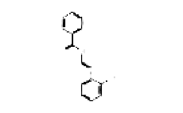 COc1ccccc1C=CNC(=O)c1ccccc1